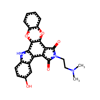 CN(C)CCn1c(=O)c2c3oc4ccccc4oc3c3[nH]c4ccc(O)cc4c3c2c1=O